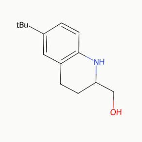 CC(C)(C)c1ccc2c(c1)CCC(CO)N2